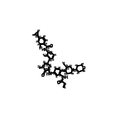 C=CC(=O)Nc1cc(Nc2nc(-c3ccnc(NC(=O)c4ccc(C5CC5)cc4F)c3C)cn(C)c2=O)ccc1N1CCN(C2CCOCC2)C[C@@H]1C